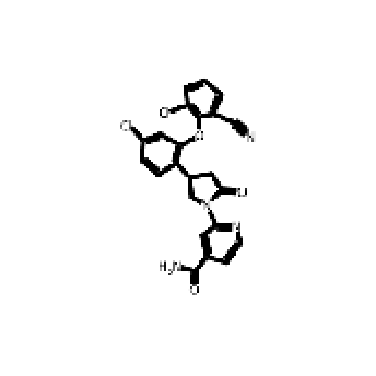 N#Cc1cccc(Cl)c1Oc1cc(Cl)ccc1C1CC(=O)N(c2cc(C(N)=O)ccn2)C1